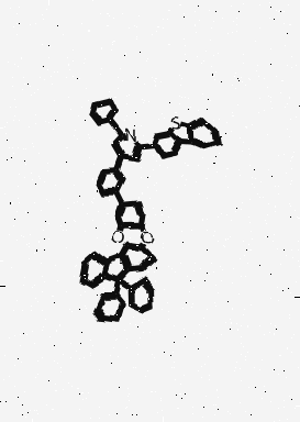 c1ccc(-c2cc(-c3cccc(-c4ccc5c(c4)Oc4c(ccc6c4-c4ccccc4C6(c4ccccc4)c4ccccc4)O5)c3)cc(-c3ccc4c(c3)sc3ccccc34)n2)cc1